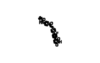 CC(C)(C)OC(=O)NC1CCN(C(=O)CCN2CCN(c3ccc(C4CCC(=O)NC4=O)cc3F)CC2)CC1